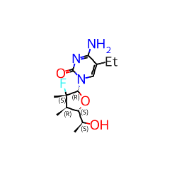 CCc1cn([C@@H]2O[C@H]([C@H](C)O)[C@@H](C)[C@]2(C)F)c(=O)nc1N